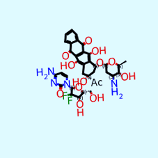 CC(=O)[C@]1(O)Cc2c(O)c3c(c(O)c2[C@@H](O[C@H]2C[C@H](N)[C@H](O)[C@H](C)O2)C1)C(=O)c1ccccc1C3=O.Nc1ccn([C@@H]2O[C@H](CO)[C@@H](O)C2(F)F)c(=O)n1